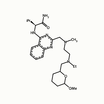 CCN(CCN(C)Cc1nc(N[C@H](C(N)=O)C(C)C)c2ccccc2n1)CC1CCCC(OC)O1